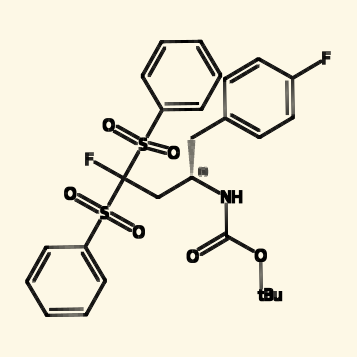 CC(C)(C)OC(=O)N[C@@H](Cc1ccc(F)cc1)CC(F)(S(=O)(=O)c1ccccc1)S(=O)(=O)c1ccccc1